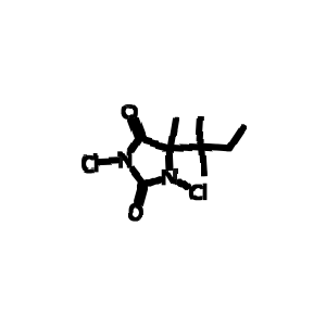 CCC(C)(C)C1(C)C(=O)N(Cl)C(=O)N1Cl